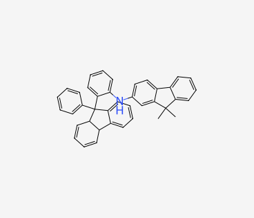 CC1(C)c2ccccc2-c2ccc(Nc3ccccc3C3(c4ccccc4)c4ccccc4C4C=CC=CC43)cc21